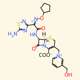 Nc1nc(/C(=N/OC2CCCC2)C(=O)NC2C(=O)N3C(C(=O)[O-])=C(C[n+]4cccc(CO)c4)CS[C@H]23)ns1